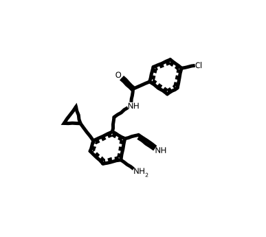 N=Cc1c(N)ccc(C2CC2)c1CNC(=O)c1ccc(Cl)cc1